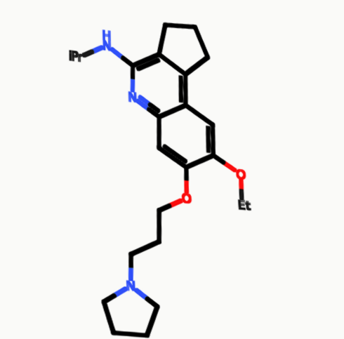 CCOc1cc2c3c(c(NC(C)C)nc2cc1OCCCN1CCCC1)CCC3